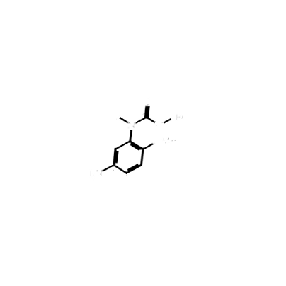 COc1ccc(N)cc1N(C)C(=O)OC(C)(C)C